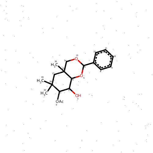 CC(=O)OC1C(O)C2OC(c3ccccc3)OCC2(C)CC1(C)C